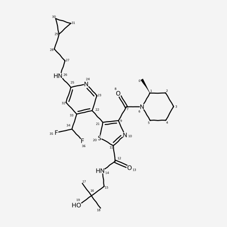 C[C@H]1CCCCN1C(=O)c1nc(C(=O)NCC(C)(C)O)sc1-c1cnc(NCCC2CC2)cc1C(F)F